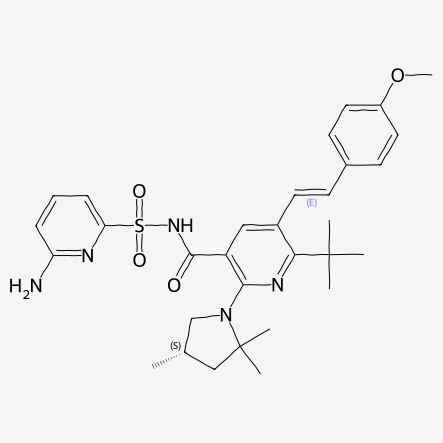 COc1ccc(/C=C/c2cc(C(=O)NS(=O)(=O)c3cccc(N)n3)c(N3C[C@@H](C)CC3(C)C)nc2C(C)(C)C)cc1